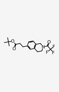 CC(C)(C)OC(=O)CCc1ccc2c(c1)CCN(C(=O)C(F)(F)F)C2